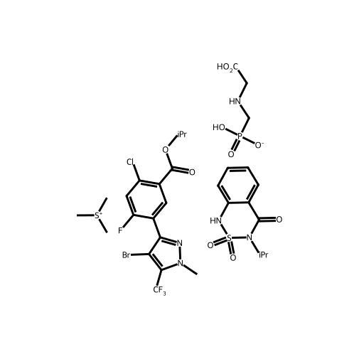 CC(C)N1C(=O)c2ccccc2NS1(=O)=O.CC(C)OC(=O)c1cc(-c2nn(C)c(C(F)(F)F)c2Br)c(F)cc1Cl.C[S+](C)C.O=C(O)CNCP(=O)([O-])O